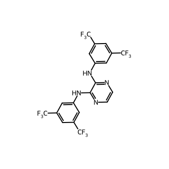 FC(F)(F)c1cc(Nc2nccnc2Nc2cc(C(F)(F)F)cc(C(F)(F)F)c2)cc(C(F)(F)F)c1